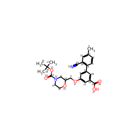 Cc1ccc(-c2cc(OCC3CN(C(=O)OC(C)(C)C)CCO3)cc(C(=O)O)c2)c(C#N)c1